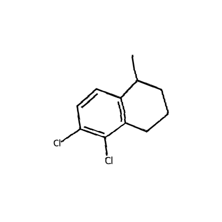 CC1CCCc2c1ccc(Cl)c2Cl